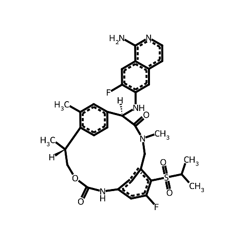 Cc1cc2ccc1[C@@H](C)COC(=O)Nc1cc(F)c(S(=O)(=O)C(C)C)c(c1)CN(C)C(=O)[C@@H]2Nc1cc2ccnc(N)c2cc1F